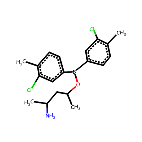 Cc1ccc(B(OC(C)CC(C)N)c2ccc(C)c(Cl)c2)cc1Cl